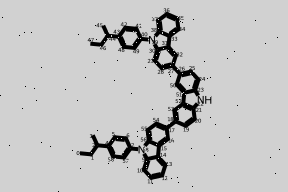 CCC(C)c1ccc(-n2c3ccccc3c3cc(-c4ccc5[nH]c6ccc(-c7ccc8c(c7)c7ccccc7n8-c7ccc(C(C)CC)cc7)cc6c5c4)ccc32)cc1